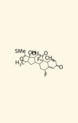 CSC(=O)[C@@]1(O)[C@H](C)CC2C3C[C@H](F)C4=CC(=O)C=C[C@]4(C)[C@@]3(F)C(=O)C[C@@]21C